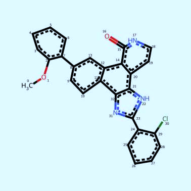 COc1ccccc1-c1ccc2c(c1)c1c(=O)[nH]ccc1c1[nH]c(-c3ccccc3Cl)nc21